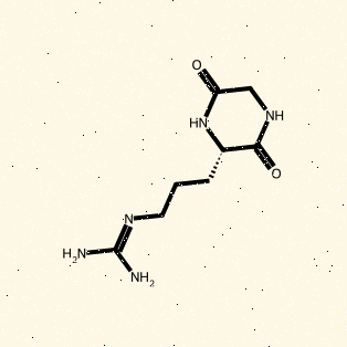 NC(N)=NCCC[C@@H]1NC(=O)CNC1=O